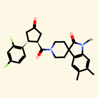 Cc1cc2c(cc1C)C1(CCN(C(=O)[C@@H]3CC(=O)C[C@H]3c3ccc(F)cc3F)CC1)C(=O)N2C(C)C